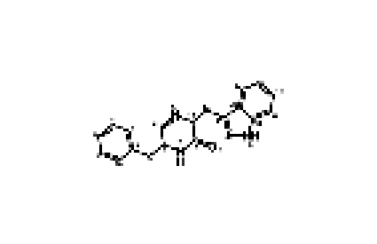 O=C1NC(Cc2ccccc2)C=NC1Cc1c[nH]c2ccccc12